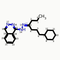 CCC/C(CCCC1CCCCC1)=N/Nc1nncc2ccccc12